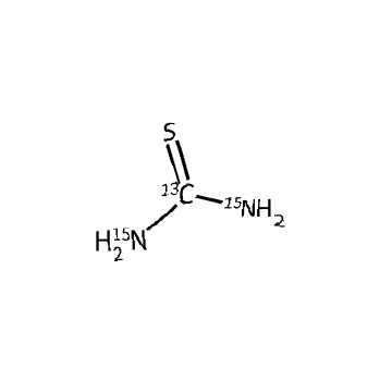 [15NH2][13C]([15NH2])=S